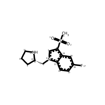 CS(=O)(=O)c1cn(C[C@@H]2CCCN2)c2ccc(F)cc12